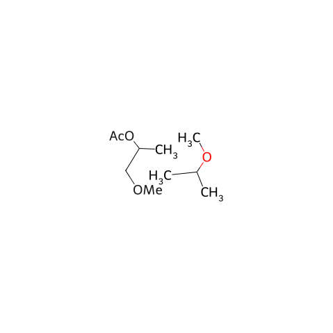 COC(C)C.COCC(C)OC(C)=O